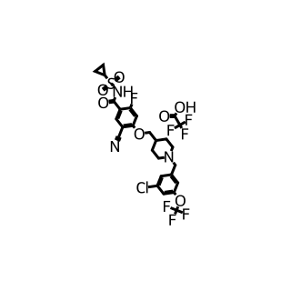 N#Cc1cc(C(=O)NS(=O)(=O)C2CC2)c(F)cc1OCC1CCN(Cc2cc(Cl)cc(OC(F)(F)F)c2)CC1.O=C(O)C(F)(F)F